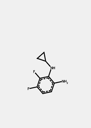 Nc1ccc(F)c(F)c1NC1CC1